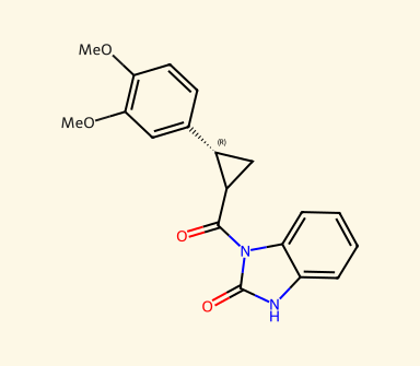 COc1ccc([C@@H]2CC2C(=O)n2c(=O)[nH]c3ccccc32)cc1OC